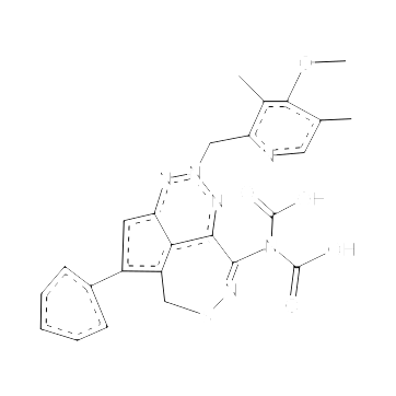 COc1c(C)cnc(Cn2nc3cc(-c4ccccc4)c4c-3c(n2)C(N(C(=O)O)C(=O)O)=NSC4)c1C